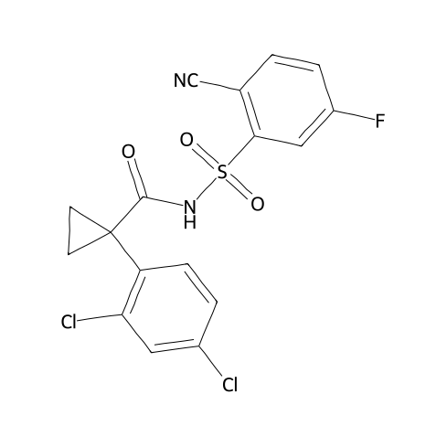 N#Cc1ccc(F)cc1S(=O)(=O)NC(=O)C1(c2ccc(Cl)cc2Cl)CC1